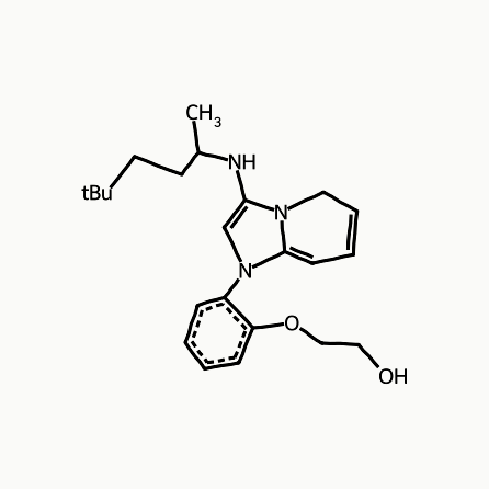 CC(CCC(C)(C)C)NC1=CN(c2ccccc2OCCO)C2=CC=CCN12